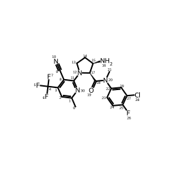 Cc1cc(C(F)(F)F)c(C#N)c(N2CC[C@@H](N)[C@H]2C(=O)N(C)c2ccc(F)c(Cl)c2)n1